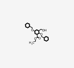 CCOC(=O)c1cc(OCc2ccccc2)cc(CO)c1OCc1ccccc1